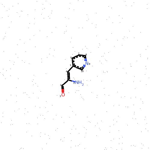 N/C(C=O)=C\c1cccnc1